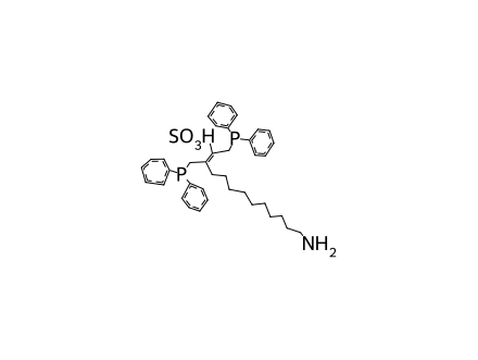 NCCCCCCCCCCC(CP(c1ccccc1)c1ccccc1)=C(CP(c1ccccc1)c1ccccc1)S(=O)(=O)O